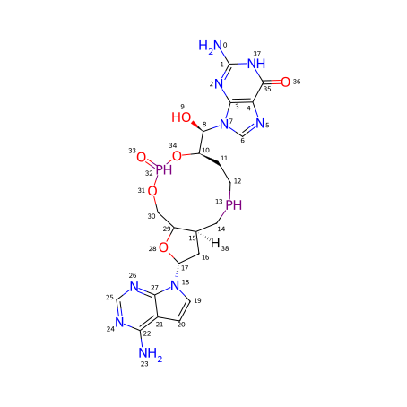 Nc1nc2c(ncn2[C@H](O)[C@H]2CCPC[C@H]3C[C@H](n4ccc5c(N)ncnc54)OC3CO[PH](=O)O2)c(=O)[nH]1